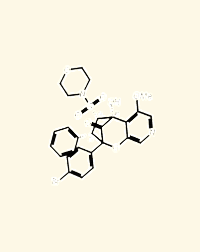 COc1cncc2c1[C@@]1(O)C(=O)C(c3ccc(Br)cc3)(O2)[C@H](c2ccccc2)[C@@H]1S(=O)(=O)N1CCOCC1